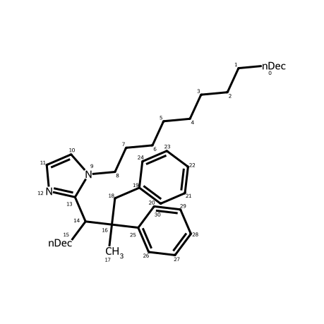 CCCCCCCCCCCCCCCCCCn1ccnc1C(CCCCCCCCCC)C(C)(Cc1ccccc1)c1ccccc1